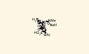 CNC(=O)CO/N=C(\C(=O)N[C@@H]1C(=O)N2C(C(=O)O)=C(COC(C)=O)CS[C@H]12)c1csc(N)n1.[NaH]